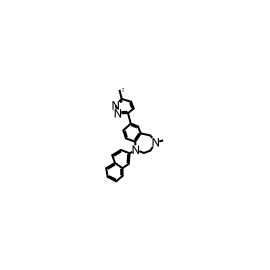 [CH]c1ccc(-c2ccc3c(c2)CN(C)CCN3c2ccc3ccccc3c2)nn1